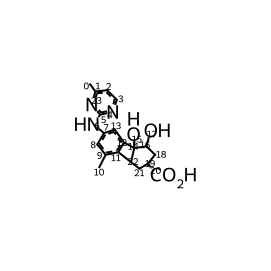 Cc1ccnc(Nc2cc(C)c3c(c2)C2(O)C(O)CC(C(=O)O)CC32)n1